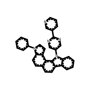 c1ccc(-n2ccc3c4c(ccc5c6ccccc6n(-c6cnc(-c7cccnc7)nc6)c54)ccc32)cc1